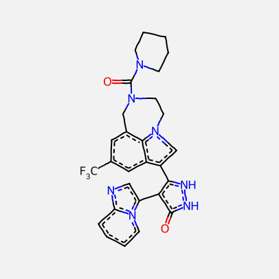 O=C(N1CCCCC1)N1CCn2cc(-c3[nH][nH]c(=O)c3-c3cnc4ccccn34)c3cc(C(F)(F)F)cc(c32)C1